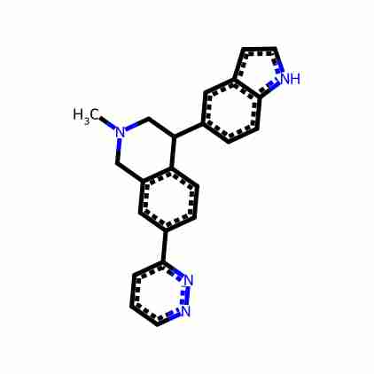 CN1Cc2cc(-c3cccnn3)ccc2C(c2ccc3[nH]ccc3c2)C1